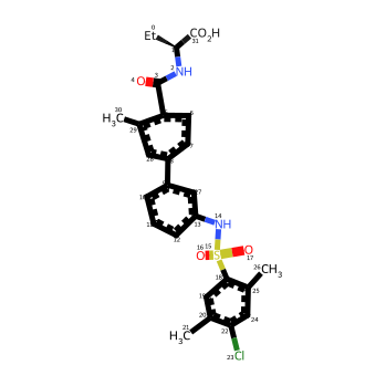 CC[C@H](NC(=O)c1ccc(-c2cccc(NS(=O)(=O)c3cc(C)c(Cl)cc3C)c2)cc1C)C(=O)O